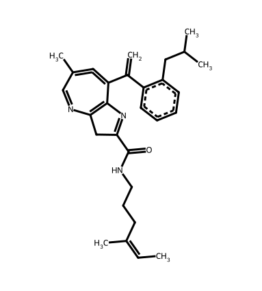 C=C(C1=C=C(C)C=NC2=C1N=C(C(=O)NCCC/C(C)=C\C)C2)c1ccccc1CC(C)C